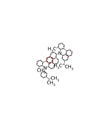 Cc1cccc(-c2ccccc2)c1N(c1cccc(C(C)C)c1)c1ccc2ccc3c(N(c4cccc(C(C)C)c4)c4c(C)cccc4-c4ccccc4)ccc4ccc1c2c43